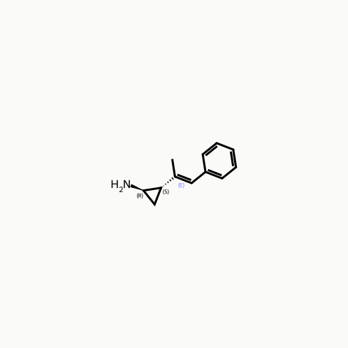 C/C(=C\c1ccccc1)[C@@H]1C[C@H]1N